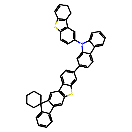 C1=Cc2sc3ccc(-n4c5ccccc5c5ccc(-c6ccc7c(c6)sc6cc8c(cc67)C6(CCCCC6)c6ccccc6-8)cc54)cc3c2CC1